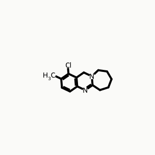 Cc1ccc2c(c1Cl)CN1CCCCCC1=N2